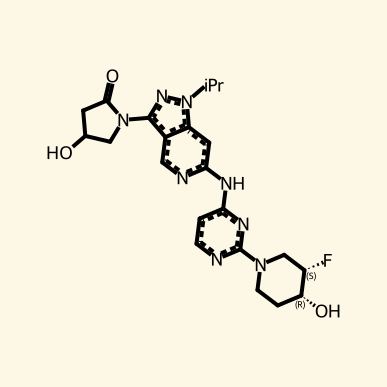 CC(C)n1nc(N2CC(O)CC2=O)c2cnc(Nc3ccnc(N4CC[C@@H](O)[C@@H](F)C4)n3)cc21